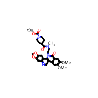 COc1cc2c(=O)n(CCN(C)C(=O)C3CCN(C(=O)OC(C)(C)C)CC3)c3c4cc5c(cc4ncc3c2cc1OC)OCO5